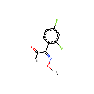 CON=C(C(C)=O)c1ccc(F)cc1F